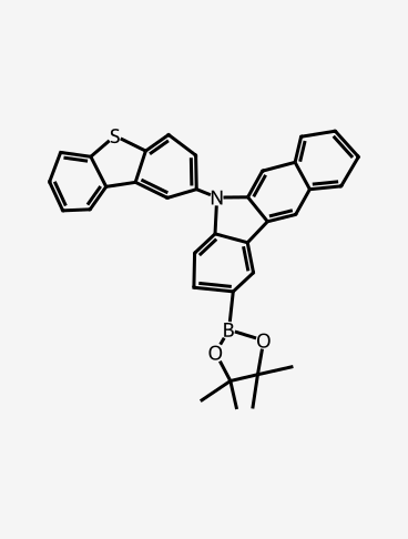 CC1(C)OB(c2ccc3c(c2)c2cc4ccccc4cc2n3-c2ccc3sc4ccccc4c3c2)OC1(C)C